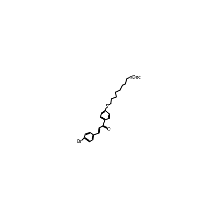 CCCCCCCCCCCCCCCCCCSc1ccc(C(=O)/C=C/c2ccc(Br)cc2)cc1